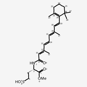 COC(=O)[C@H](CCS(=O)(=O)O)NC(=O)/C=C(C)/C=C/C=C(C)/C=C/C1=C(C)CCCC1(C)C